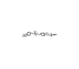 CC#CC(C)(C)COc1ccc(CCOC(=O)CCc2ccc(O)cc2)cc1